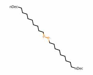 CCCCCCCCCCCCCCCCCCC[P][P]CCCCCCCCCCCCCCCCCCC